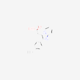 Cc1ccc(-c2nc3cccc(C)n3c2CC(=O)O)cc1